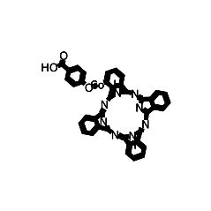 O=C(O)c1ccc([O][Co][c]2cccc3c4nc5nc(nc6[nH]c(nc7nc(nc([nH]4)c23)-c2ccccc2-7)c2ccccc62)-c2ccccc2-5)cc1